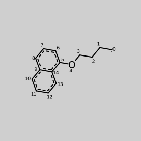 [CH2]CCCOc1cccc2ccccc12